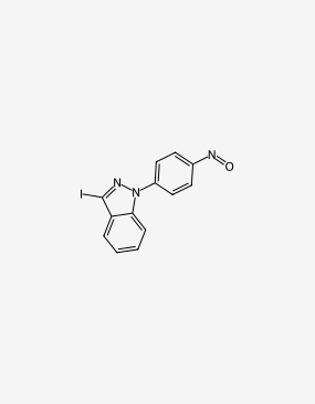 O=Nc1ccc(-n2nc(I)c3ccccc32)cc1